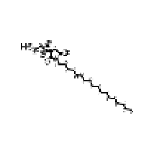 CCCCCCCCCCCCCCCC/C=C/N1C(=O)CC(S(=O)(=O)CCO)C1=O